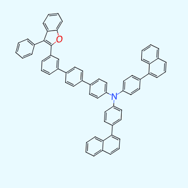 c1ccc(-c2c(-c3cccc(-c4ccc(-c5ccc(N(c6ccc(-c7cccc8ccccc78)cc6)c6ccc(-c7cccc8ccccc78)cc6)cc5)cc4)c3)oc3ccccc23)cc1